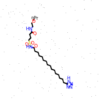 CCCOCCNC(=O)CCCS(=O)(=O)NC(=O)CCCCCCCCCCCCCCCc1nnn[nH]1